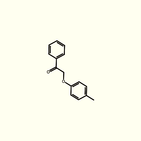 Cc1ccc(OCC(=O)c2ccccc2)cc1